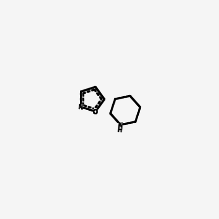 C1CCNCC1.c1cnoc1